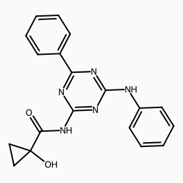 O=C(Nc1nc(Nc2ccccc2)nc(-c2ccccc2)n1)C1(O)CC1